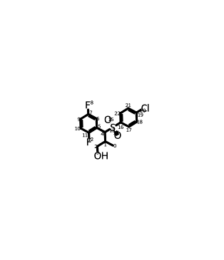 CC(CO)C(c1cc(F)ccc1F)S(=O)(=O)c1ccc(Cl)cc1